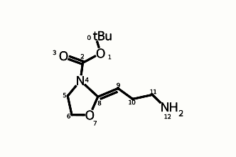 CC(C)(C)OC(=O)N1CCOC1=CCCN